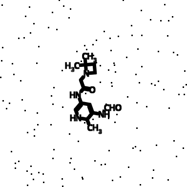 CC1NC=C(NC(=O)CN2CCC2(C)C)C=C1NC=O